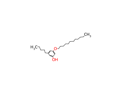 CCCCCCCCCCCCOc1cc(O)cc(CCCCC)c1